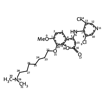 COc1ccc2c(Nc3c(Cl)cncc3Cl)cc(=O)oc2c1OCCCCCCCN(C)C